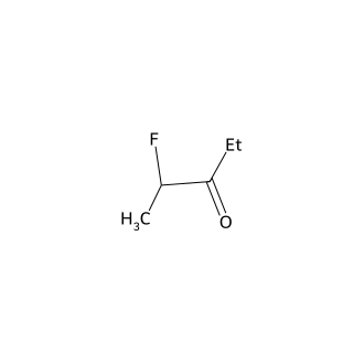 [CH2]CC(=O)C(C)F